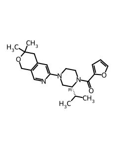 CC(C)[C@@H]1CN(c2cc3c(cn2)COC(C)(C)C3)CCN1C(=O)c1ccco1